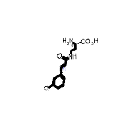 N[C@@H](CCNC(=O)/C=C/c1cccc(Cl)c1)C(=O)O